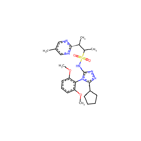 COc1cccc(OC)c1-n1c(NS(=O)(=O)C(C)C(C)c2ncc(C)cn2)nnc1C1CCCC1